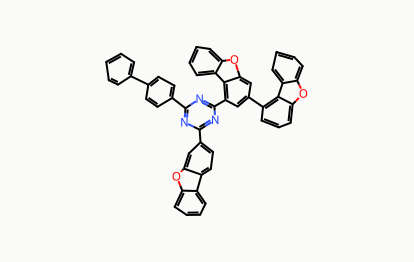 c1ccc(-c2ccc(-c3nc(-c4ccc5c(c4)oc4ccccc45)nc(-c4cc(-c5cccc6oc7ccccc7c56)cc5oc6ccccc6c45)n3)cc2)cc1